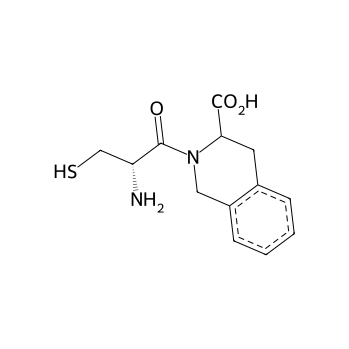 N[C@H](CS)C(=O)N1Cc2ccccc2CC1C(=O)O